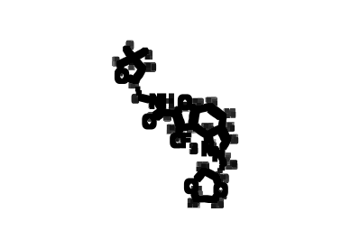 CC1(C)CO[C@@H](CNC(=O)c2oc3ccc4cn(C[C@H]5COCCO5)nc4c3c2C(F)(F)F)C1